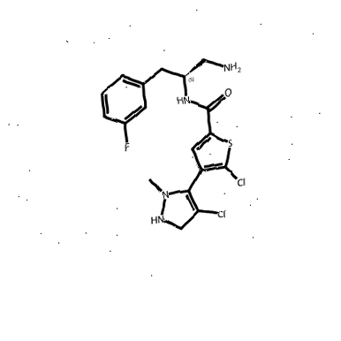 CN1NCC(Cl)=C1c1cc(C(=O)N[C@H](CN)Cc2cccc(F)c2)sc1Cl